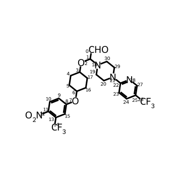 O=CC(OC1CCC(Oc2ccc([N+](=O)[O-])c(C(F)(F)F)c2)CC1)N1CCN(c2ccc(C(F)(F)F)cn2)CC1